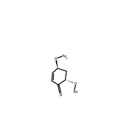 O=C1C=C[C@@H](OP)C[C@@H]1OS